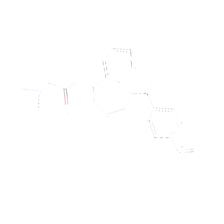 CN(C)CC(=O)OC1CCCN(C(=O)c2ccc([N+](=O)[O-])cc2)c2ccccc21